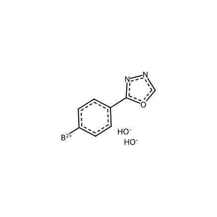 [B+2]c1ccc(-c2nnco2)cc1.[OH-].[OH-]